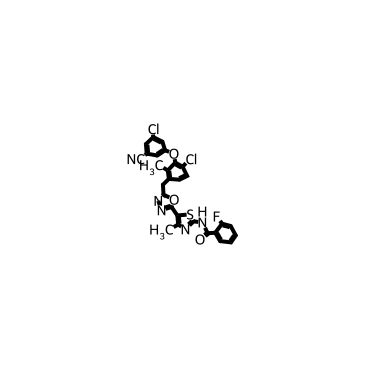 Cc1nc(NC(=O)c2ccccc2F)sc1-c1nnc(Cc2ccc(Cl)c(Oc3cc(Cl)cc(C#N)c3)c2C)o1